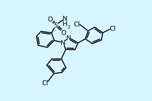 NS(=O)(=O)c1ccccc1-n1nc(-c2ccc(Cl)cc2Cl)cc1-c1ccc(Cl)cc1